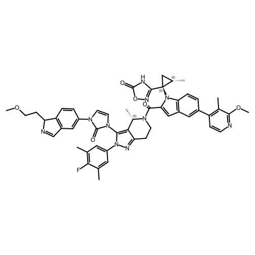 COCCC1N=Cc2cc(-n3ccn(-c4c5c(nn4-c4cc(C)c(F)c(C)c4)CCN(C(=O)c4cc6cc(-c7ccnc(OC)c7C)ccc6n4[C@@]4(c6noc(=O)[nH]6)C[C@@H]4C)[C@H]5C)c3=O)ccc21